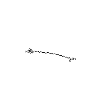 O=P(O)(O)OCCCCCCCCCCCCCCCCCCCCCCCCC(=S)S